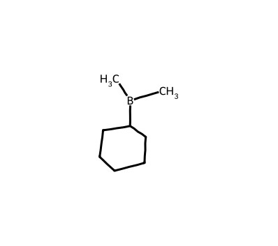 CB(C)C1CCCCC1